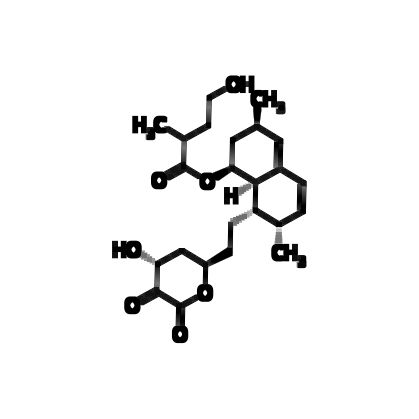 CC(CCO)C(=O)O[C@H]1C[C@@H](C)C=C2C=C[C@H](C)[C@H](CC[C@@H]3C[C@@H](O)C(=O)C(=O)O3)[C@H]21